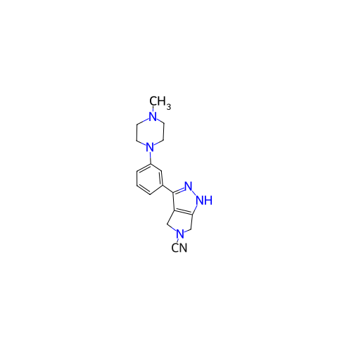 CN1CCN(c2cccc(-c3n[nH]c4c3CN(C#N)C4)c2)CC1